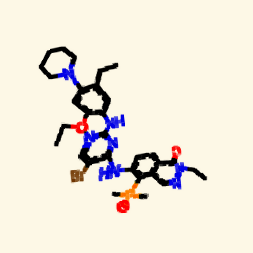 CCOc1cc(N2CCCCC2)c(CC)cc1Nc1ncc(Br)c(Nc2ccc3c(=O)n(CC)ncc3c2P(C)(C)=O)n1